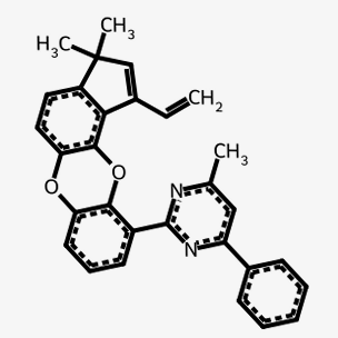 C=CC1=CC(C)(C)c2ccc3c(c21)Oc1c(cccc1-c1nc(C)cc(-c2ccccc2)n1)O3